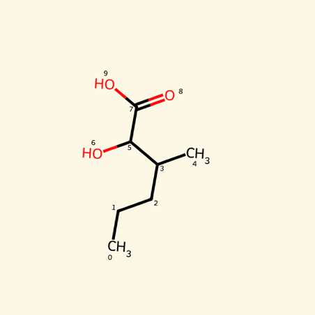 CCCC(C)C(O)C(=O)O